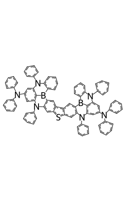 c1ccc(N(c2ccccc2)c2cc3c4c(c2)N(c2ccccc2)c2cc5sc6cc7c(cc6c5cc2B4c2ccccc2N3c2ccccc2)B2c3ccccc3N(c3ccccc3)c3cc(N(c4ccccc4)c4ccccc4)cc(c32)N7c2ccccc2)cc1